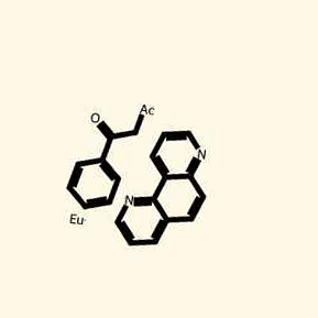 CC(=O)CC(=O)c1ccccc1.[Eu].c1cnc2c(c1)ccc1ncccc12